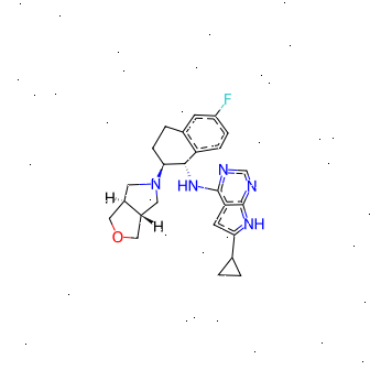 Fc1ccc2c(c1)CC[C@H](N1C[C@@H]3COC[C@H]3C1)[C@H]2Nc1ncnc2[nH]c(C3CC3)cc12